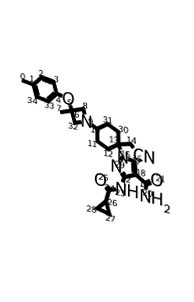 Cc1ccc(OC2(C)CN(C3CCC(CC#N)(n4cc(C(N)=O)c(NC(=O)C5CC5)n4)CC3)C2)cc1